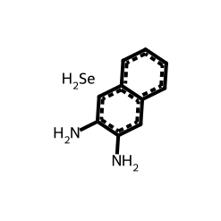 Nc1cc2ccccc2cc1N.[SeH2]